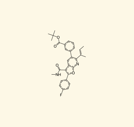 CC=C(C)c1nc2oc(-c3ccc(F)cc3)c(C(=O)NC)c2cc1-c1cccc(C(=O)OC(C)(C)C)c1